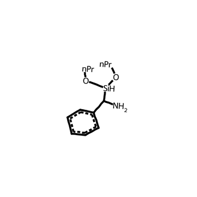 CCCO[SiH](OCCC)C(N)c1ccccc1